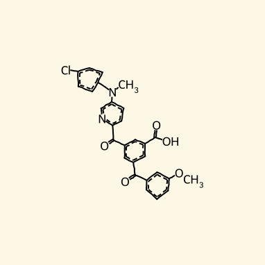 COc1cccc(C(=O)c2cc(C(=O)O)cc(C(=O)c3ccc(N(C)c4ccc(Cl)cc4)cn3)c2)c1